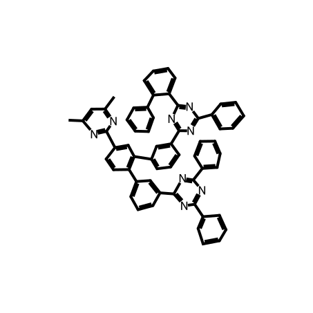 Cc1cc(C)nc(-c2ccc(-c3cccc(-c4nc(-c5ccccc5)nc(-c5ccccc5)n4)c3)c(-c3cccc(-c4nc(-c5ccccc5)nc(-c5ccccc5-c5ccccc5)n4)c3)c2)n1